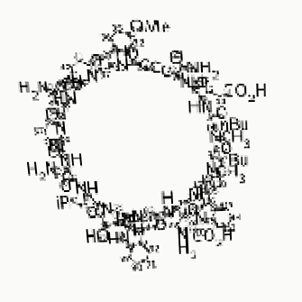 CCCC[C@H]1C(=O)N(C)[C@@H](CCCC)C(=O)N[C@@H](CCC(=O)O)C(=O)N[C@H](C(N)=O)CCCC(=O)N[C@@H](Cc2ccc(OC)cc2)C(=O)N2CCCC[C@H]2C(=O)N[C@@H](CC(N)=O)C(=O)N2CCC[C@H]2C(=O)N[C@@H](CN)C(=O)N[C@@H](CC(C)C)C(=O)N2C[C@H](O)C[C@H]2C(=O)N[C@@H](Cc2c[nH]c3ccccc23)C(=O)N[C@@H](CCN)C(=O)N[C@@H](Cc2cn(CC(=O)O)c3ccccc23)C(=O)N1C